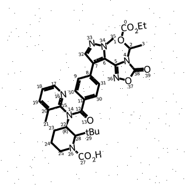 CCOC(=O)OC(C)n1c(-c2c(-c3ccc(C(=O)N(c4ncccc4C)[C@@H]4CCCN(C(=O)O)C4C(C)(C)C)cc3)cnn2C)noc1=O